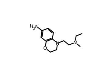 CCN(C)CCN1CCOc2cc(N)ccc21